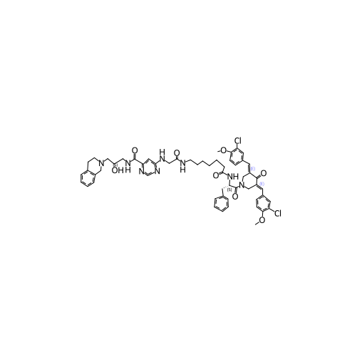 COc1ccc(/C=C2\CN(C(=O)[C@H](Cc3ccccc3)NC(=O)CCCCCCNC(=O)CNc3cc(C(=O)NC[C@H](O)CN4CCc5ccccc5C4)ncn3)C/C(=C\c3ccc(OC)c(Cl)c3)C2=O)cc1Cl